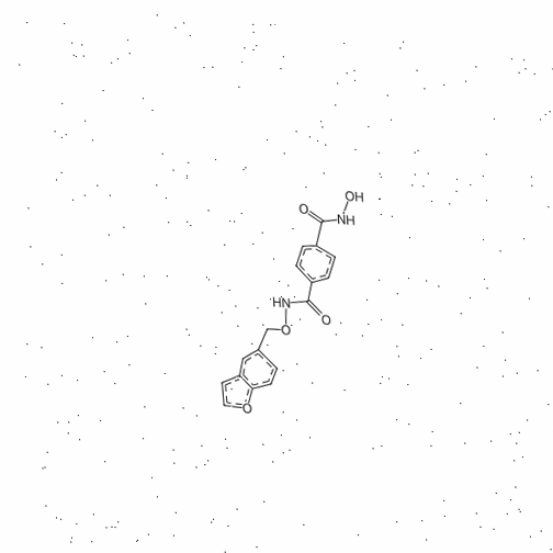 O=C(NO)c1ccc(C(=O)NOCc2ccc3occc3c2)cc1